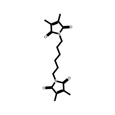 CC1=C(C)C(=O)N(CCCCCCN2C(=O)C(C)=C(C)C2=O)C1=O